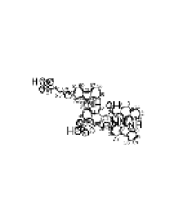 C=c1/c(=C2/C(=O)C(c3ccc4cccc5c4c3NC3(N5)C4=C(C=CC(OCCCCS(=O)(=O)O)C4)c4ccccc43)=C2O)ccc2cccc(NC3(C)c4ccccc4-c4ccc(OCCCCS(=O)(=O)O)cc43)c12